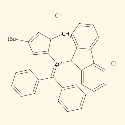 CC1C=C(C(C)(C)C)C=[C]1[Zr+2](=[C](c1ccccc1)c1ccccc1)[CH]1c2ccccc2-c2ccccc21.[Cl-].[Cl-]